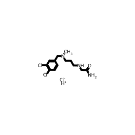 CN(CCCNCC(N)=O)Cc1ccc(Cl)c(Cl)c1.[Cl-].[H+]